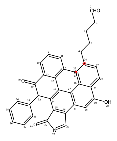 O=CCCCCCOc1cccc2c1-c1c(c3c(c4cc(O)c5ccccc5c14)C=NC3=O)C(c1ccccc1)C2=O